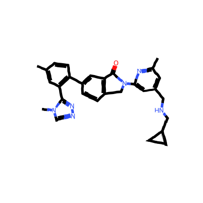 Cc1ccc(-c2ccc3c(c2)C(=O)N(c2cc(CNCC4CC4)cc(C)n2)C3)c(-c2nncn2C)c1